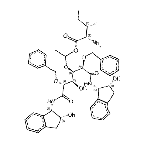 CC[C@H](C)[C@H](N)C(=O)OC(C)O[C@H]([C@@H](O)[C@@H](OCc1ccccc1)C(=O)N[C@H]1c2ccccc2C[C@H]1O)[C@@H](OCc1ccccc1)C(=O)N[C@H]1c2ccccc2C[C@H]1O